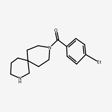 CCc1ccc(C(=O)N2CCC3(CCCNC3)CC2)cc1